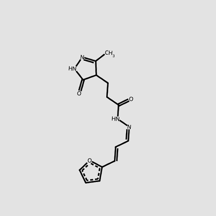 CC1=NNC(=O)C1CCC(=O)N/N=C\C=C\c1ccco1